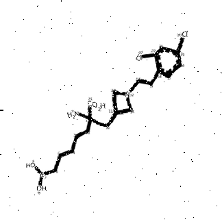 NC(CCCCCB(O)O)(CC1CN(CCc2ccc(Cl)cc2Cl)C1)C(=O)O